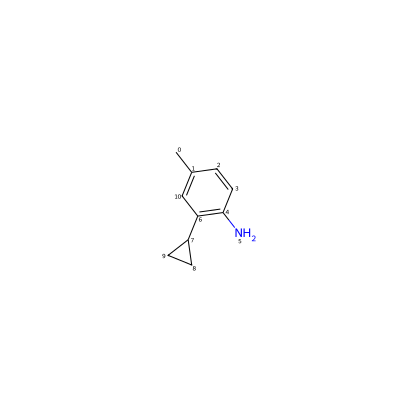 Cc1ccc(N)c(C2CC2)c1